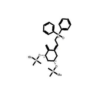 C=C1/C(=C\C[PH]([O])(c2ccccc2)c2ccccc2)C[C@H](O[Si](C)(C)C(C)(C)C)C[C@@H]1O[Si](C)(C)C(C)(C)C